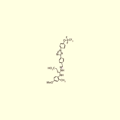 COc1ccc(NC(N/N=C/c2ccc(-c3ncn(-c4ccc(OC(F)(F)C(F)(F)F)cc4)n3)cc2)SCC(=O)O)c(C)c1